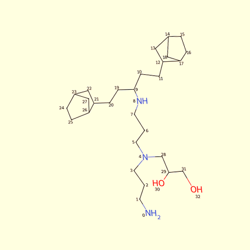 NCCCN(CCCNC(CCC1CC2CCC1C2)CCC1CC2CCC1C2)CC(O)CO